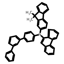 CC1(C)c2ccccc2-c2ccc(N(c3ccc(-c4cccc(-c5ccccc5)c4)cc3)c3cc4ccccc4c4ccccc34)cc21